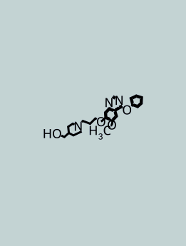 COc1cc2c(Oc3ccccc3)ncnc2cc1OCCCN1CCC(CO)CC1